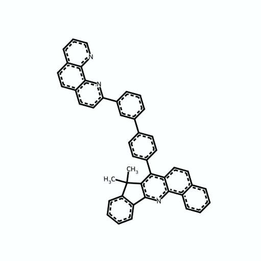 CC1(C)c2ccccc2-c2nc3c(ccc4ccccc43)c(-c3ccc(-c4cccc(-c5ccc6ccc7cccnc7c6n5)c4)cc3)c21